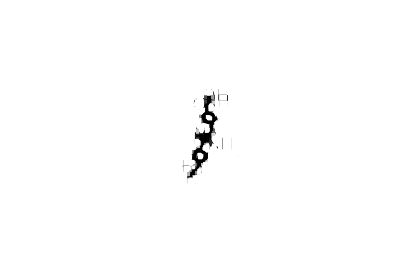 Nn1c(Sc2ccc(C(=O)NO)cc2)nnc1-c1ccc(OC(F)F)cc1